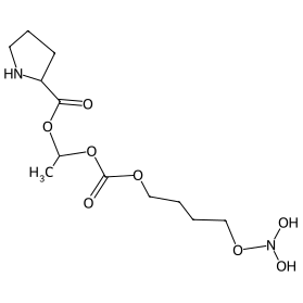 CC(OC(=O)OCCCCON(O)O)OC(=O)C1CCCN1